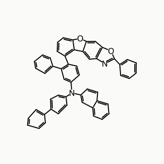 c1ccc(-c2ccc(N(c3ccc(-c4cccc5oc6cc7oc(-c8ccccc8)nc7cc6c45)c(-c4ccccc4)c3)c3ccc4ccccc4c3)cc2)cc1